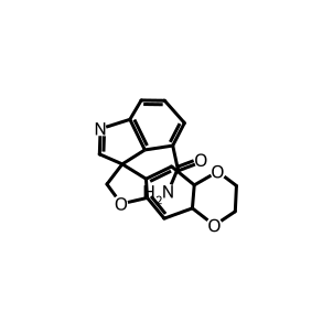 NC(=O)c1cccc2c1C1(C=N2)COC2=CC3OCCOC3C=C21